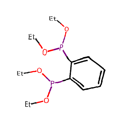 CCOP(OCC)c1ccccc1P(OCC)OCC